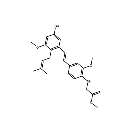 COC(=O)CNc1ccc(/C=C/c2cc(O)cc(OC)c2CC=C(C)C)cc1OC